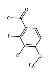 O=C(Cl)c1ccc(OC(F)(F)F)c(Cl)c1F